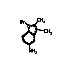 Cc1c(C)n(C(C)C)c2ccc(N)cc12